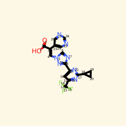 O=C(O)/C(=C/n1cnc(-c2cc(C(F)(F)F)nc(C3CC3)n2)n1)c1cncnc1